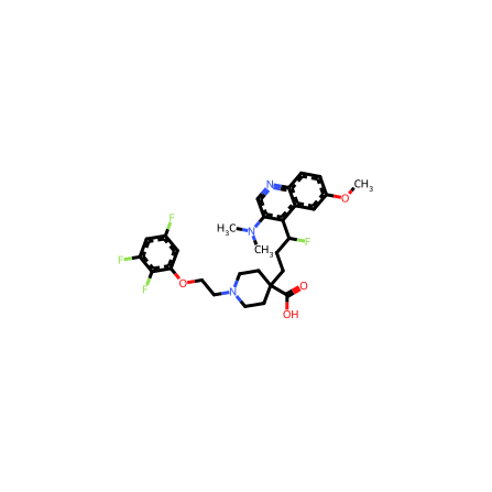 COc1ccc2ncc(N(C)C)c(C(F)CCC3(C(=O)O)CCN(CCOc4cc(F)cc(F)c4F)CC3)c2c1